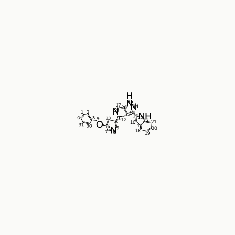 c1ccc(COc2cncc(-c3cc4c(-c5cc6ccccc6[nH]5)n[nH]c4cn3)c2)cc1